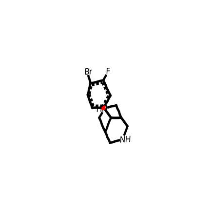 Fc1cc(C2C3CNCC2CNC3)ccc1Br